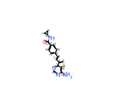 Nc1ncnc2c(/C=C/c3ccc(C(=O)NC4CC4)cc3)csc12